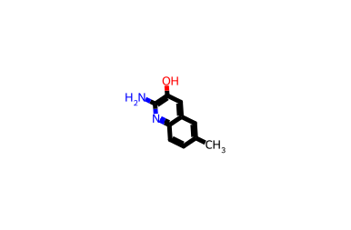 Cc1ccc2nc(N)c(O)cc2c1